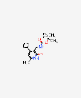 Cc1cc(C2CCC2)c(CNC(=O)OC(C)(C)C)c(=O)[nH]1